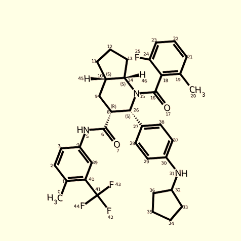 Cc1ccc(NC(=O)[C@@H]2C[C@@H]3CCC[C@@H]3N(C(=O)c3c(C)cccc3F)[C@@H]2c2ccc(NC3CCCC3)cc2)cc1C(F)(F)F